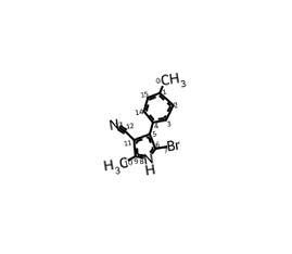 Cc1ccc(-c2c(Br)[nH]c(C)c2C#N)cc1